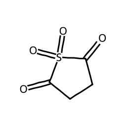 O=C1CCC(=O)S1(=O)=O